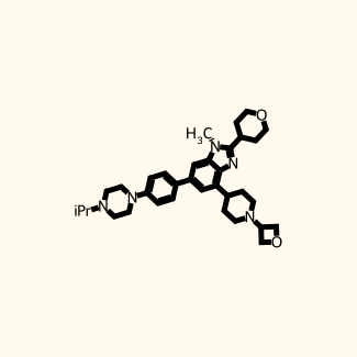 CC(C)N1CCN(c2ccc(-c3cc(C4CCN(C5COC5)CC4)c4nc(C5CCOCC5)n(C)c4c3)cc2)CC1